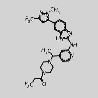 CC(c1ccnc(Nc2nc3ccc(-c4cc(C(F)(F)F)nn4C)cc3[nH]2)c1)N1CCN(C(=O)CC(F)(F)F)CC1